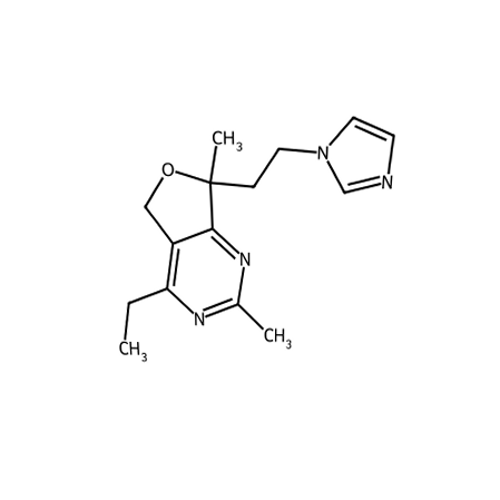 CCc1nc(C)nc2c1COC2(C)CCn1ccnc1